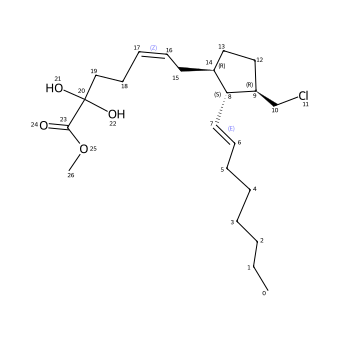 CCCCCC/C=C/[C@H]1[C@H](CCl)CC[C@@H]1C/C=C\CCC(O)(O)C(=O)OC